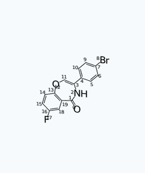 O=C1NC(c2ccc(Br)cc2)=COc2ccc(F)cc21